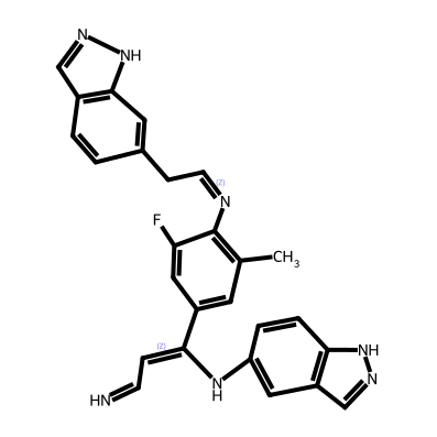 Cc1cc(/C(=C/C=N)Nc2ccc3[nH]ncc3c2)cc(F)c1/N=C\Cc1ccc2cn[nH]c2c1